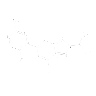 CC(C)n1cc2cc(-c3nc(N)ncc3F)cc(F)c2n1